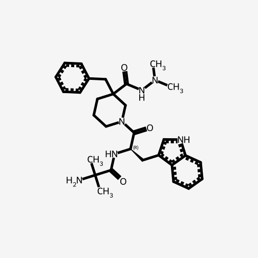 CN(C)NC(=O)C1(Cc2ccccc2)CCCN(C(=O)[C@@H](Cc2c[nH]c3ccccc23)NC(=O)C(C)(C)N)C1